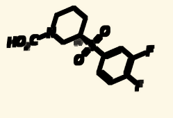 O=C(O)N1CCC[C@@H](S(=O)(=O)c2ccc(F)c(F)c2)C1